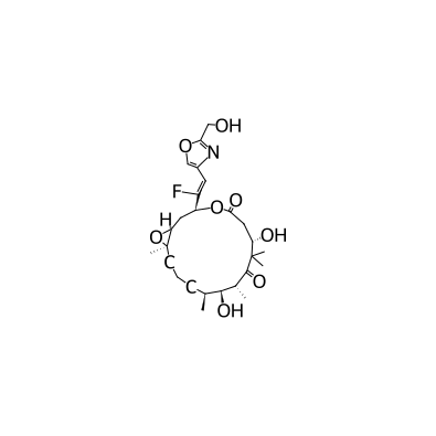 C[C@H]1CCC[C@@]2(C)O[C@H]2C[C@@H](C(F)=Cc2coc(CO)n2)OC(=O)C[C@H](O)C(C)(C)C(=O)[C@H](C)[C@H]1O